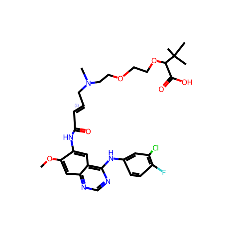 COc1cc2ncnc(Nc3ccc(F)c(Cl)c3)c2cc1NC(=O)/C=C/CN(C)CCOCCOC(C(=O)O)C(C)(C)C